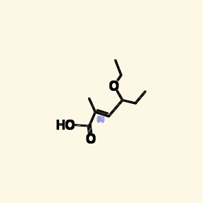 CCOC(/C=C(\C)C(=O)O)CC